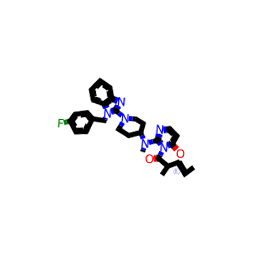 C/C=C/C(C)C(=O)n1c(N(C)C2CCN(c3nc4ccccc4n3Cc3ccc(F)cc3)CC2)nccc1=O